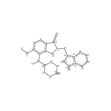 COc1ccc2c(c1C(C)N1CCNCC1)OC(Cc1n[nH]c3ncccc13)C2=O